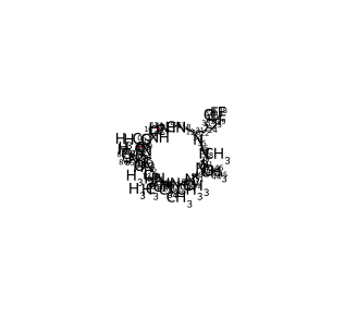 CC[C@H](C)[C@H]1C(C)NC2(CCCC2)CNCCNC=CC(CCc2ccc(C(F)(F)F)c(Cl)c2)=NC=CN(C)C=C(COC2CCC2)N(C)C=C2CCCN2[C@@H](C)C(C)N[C@@H]([C@@H](C)CC)CN[C@@H](CC(C)C)C(C)NCC2[C@@H](C(=O)N3CCCCC3)C(C)N21